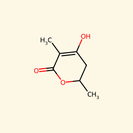 CC1=C(O)CC(C)OC1=O